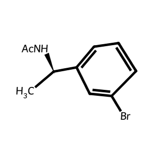 CC(=O)N[C@H](C)c1cccc(Br)c1